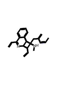 C=CC1=NC2C(C=C)C(CC(=C)/C=C\C)(NC)C2c2ccccc21